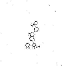 COC(=O)c1cccc(-c2cnc3ccc(-c4c[nH]nc4-c4cccc(C)n4)nc3c2)c1